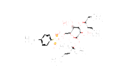 CCC[C@H](CC)O[C@@H]1C(O)[C@@H](OC(C)(C)CCC)OC(COS(=O)(=O)c2ccc(C)cc2)[C@H]1O